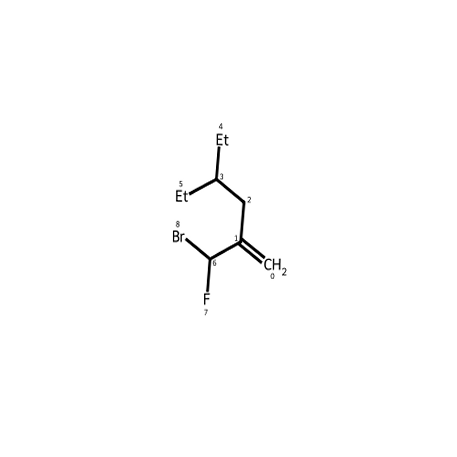 C=C(CC(CC)CC)C(F)Br